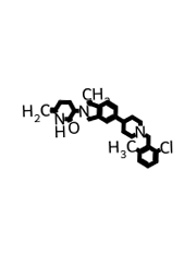 C=C1CCC(N2Cc3cc(C4CCN(Cc5c(C)cccc5Cl)CC4)ccc3C2=C)C(=O)N1